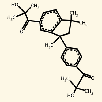 CC(C)(O)C(=O)c1ccc(C2(C)CC(C)(C)c3ccc(C(=O)C(C)(C)O)cc32)cc1